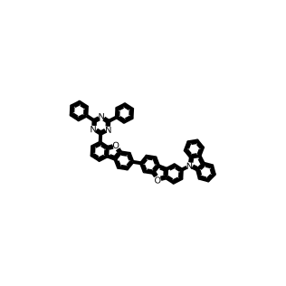 c1ccc(-c2nc(-c3ccccc3)nc(-c3cccc4c3oc3cc(-c5ccc6c(c5)oc5ccc(-n7c8ccccc8c8ccccc87)cc56)ccc34)n2)cc1